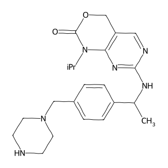 CC(Nc1ncc2c(n1)N(C(C)C)C(=O)OC2)c1ccc(CN2CCNCC2)cc1